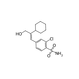 NS(=O)(=O)c1ccc(/C=C(/CO)C2CCCCC2)cc1Cl